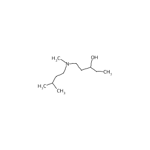 CCC(O)CCN(C)CCC(C)C